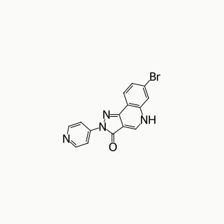 O=c1c2c[nH]c3cc(Br)ccc3c-2nn1-c1ccncc1